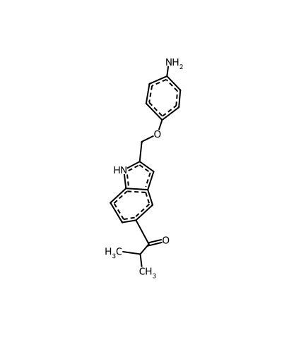 CC(C)C(=O)c1ccc2[nH]c(COc3ccc(N)cc3)cc2c1